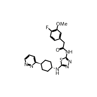 COc1cc(CC(=O)Nc2nnc(N[C@H]3CC[C@H](c4cccnn4)CC3)s2)ccc1F